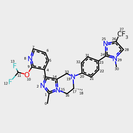 Cc1nc(-c2cccnc2OC(F)F)c2n1C[C@@H](C)N(c1ccc(-c3nc(C(F)(F)F)cn3C)cc1)C2